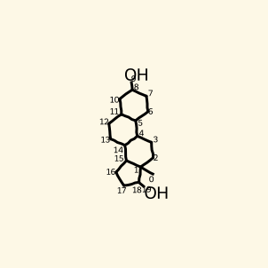 CC12CCC3C4CCC(O)CC4CCC3C1CCC2O